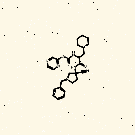 N#CC1(NC(=O)C(CC2CCCCC2)NC(=O)Oc2cnccn2)CCN(Cc2ccccc2)C1